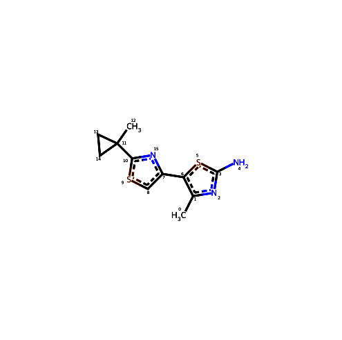 Cc1nc(N)sc1-c1csc(C2(C)CC2)n1